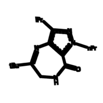 CCCn1nc(C(C)C)c2c1C(=O)NCC(C(C)(C)C)=N2